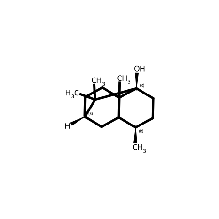 C[C@@H]1CC[C@]2(O)C3(C)CC[C@@H](CC13)C2(C)C